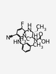 CC[C@@H](Nc1nc(Nc2cccc(C)c2)c(C#N)cc1F)[C@H](C)NC(=O)O